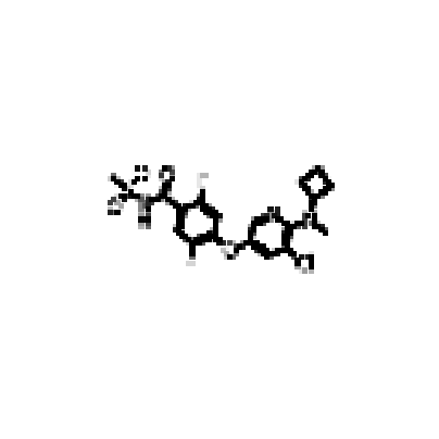 CN(c1ncc(Oc2cc(F)c(C(=O)NS(C)(=O)=O)cc2F)cc1Cl)C1CCC1